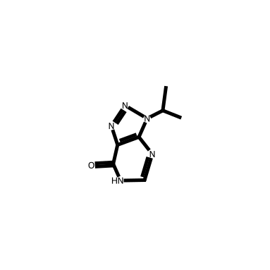 CC(C)n1nnc2c(=O)[nH]cnc21